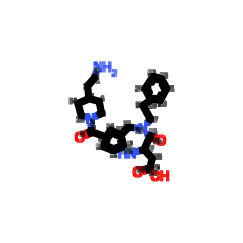 NCCC1CCN(C(=O)c2ccc3c(c2)CN(CCc2ccccc2)C(=O)C(CC(=O)O)N3)CC1